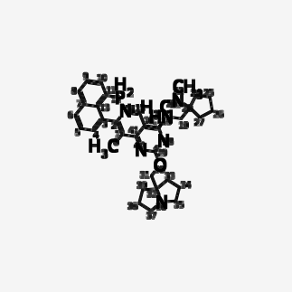 Cc1c(-c2cccc3cccc(P)c23)ncc2c(NCC3(N(C)C)CCCC3)nc(OCC34CCCN3CCC4)nc12